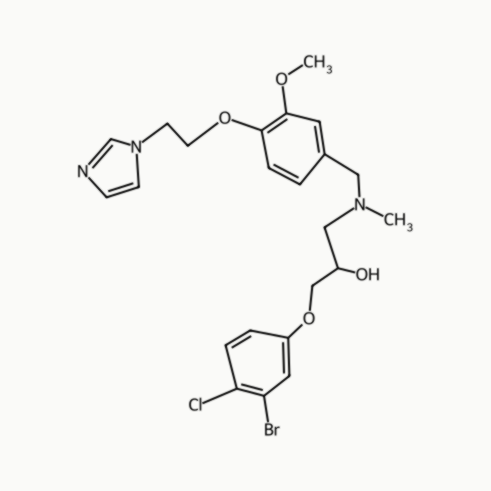 COc1cc(CN(C)CC(O)COc2ccc(Cl)c(Br)c2)ccc1OCCn1ccnc1